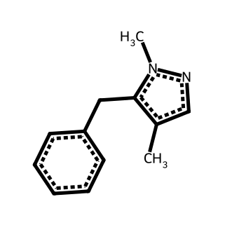 Cc1cnn(C)c1Cc1ccccc1